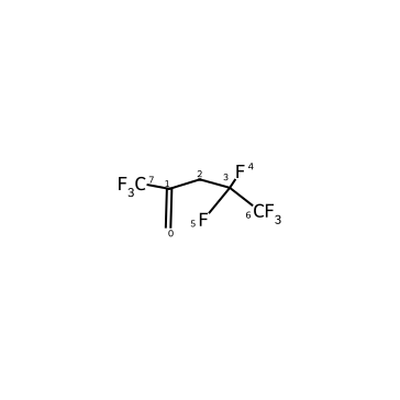 C=C(CC(F)(F)C(F)(F)F)C(F)(F)F